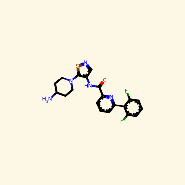 NC1CCN(c2sncc2NC(=O)c2cccc(-c3c(F)cccc3F)n2)CC1